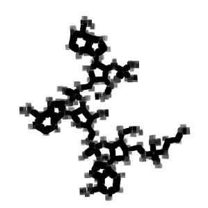 CO[C@@H]1C(OP(=O)(O)S)[C@H](n2cnc3c(N)ncnc32)O[C@@H]1COP(O)(=S)OC1[C@@H](O)[C@@H](COP(O)(=S)OC2[C@@H](OC)[C@@H](COP(=O)(O)OCCO)O[C@H]2n2cnc3c(N)ncnc32)O[C@H]1n1cnc2c(N)ncnc21